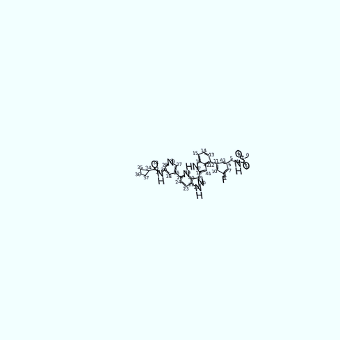 CS(=O)(=O)NCc1cc(F)cc(-c2cccc3[nH]c(-c4n[nH]c5ccc(-c6cncc(NC(=O)C7CCC7)c6)nc45)cc23)c1